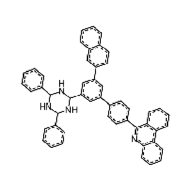 c1ccc(C2NC(c3ccccc3)NC(c3cc(-c4ccc(-c5nc6ccccc6c6ccccc56)cc4)cc(-c4ccc5ccccc5c4)c3)N2)cc1